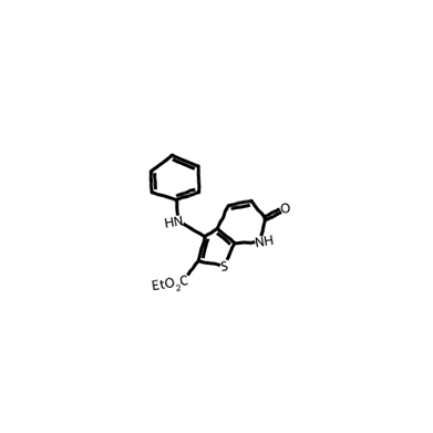 CCOC(=O)c1sc2[nH]c(=O)ccc2c1Nc1ccccc1